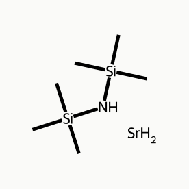 C[Si](C)(C)N[Si](C)(C)C.[SrH2]